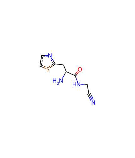 N#CCNC(=O)C(N)Cc1nccs1